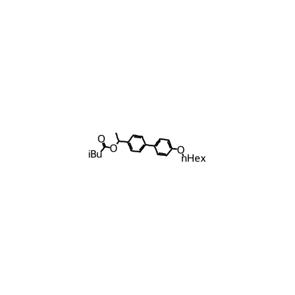 CCCCCCOc1ccc(-c2ccc(C(C)OC(=O)C(C)CC)cc2)cc1